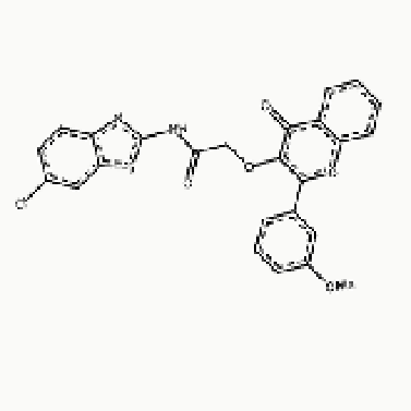 COc1cccc(-c2oc3ccccc3c(=O)c2OCC(=O)Nc2nc3ccc(Cl)cc3s2)c1